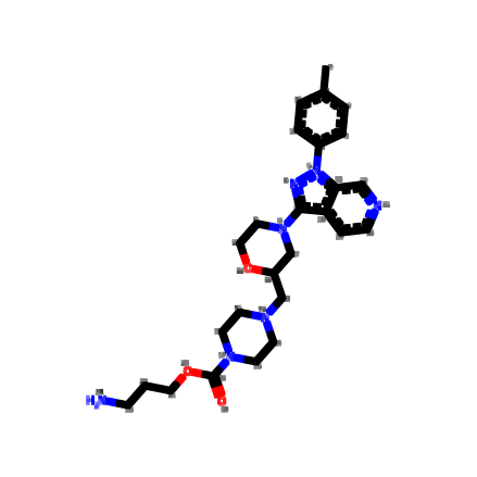 Cc1ccc(-n2nc(N3CCOC(CN4CCN(C(=O)OCCCN)CC4)C3)c3ccncc32)cc1